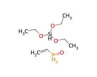 C=C[PH2]=O.CCO[SiH](OCC)OCC